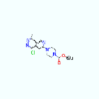 Cc1nnc(Cl)c2cc(N3CCN(C(=O)OC(C)(C)C)CC3)ncc12